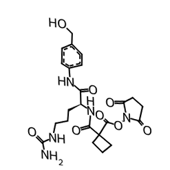 NC(=O)NCCC[C@H](NC(=O)C1(C(=O)ON2C(=O)CCC2=O)CCC1)C(=O)Nc1ccc(CO)cc1